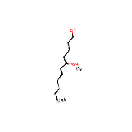 CCCCCCCCCCCCCC(O)[CH]CCCO.[KH]